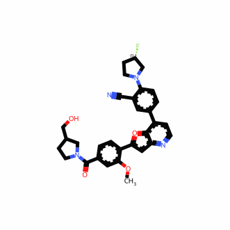 COc1cc(C(=O)N2CCC(CO)C2)ccc1-c1cc2nccc(-c3ccc(N4CC[C@H](F)C4)c(C#N)c3)c2o1